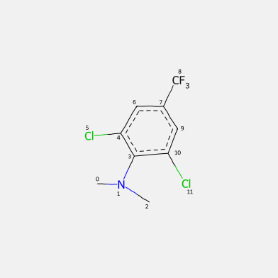 CN(C)c1c(Cl)cc(C(F)(F)F)cc1Cl